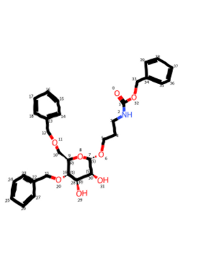 O=C(NCCCO[C@H]1O[C@H](COCc2ccccc2)[C@@H](OCc2ccccc2)[C@H](O)[C@@H]1O)OCc1ccccc1